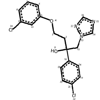 OC(CCOc1cccc(Cl)c1)(Cn1cncn1)c1ccc(Cl)cc1